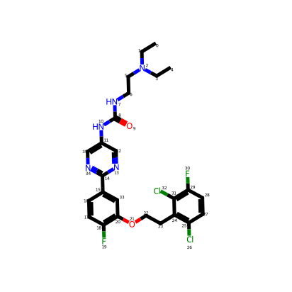 CCN(CC)CCNC(=O)Nc1cnc(-c2ccc(F)c(OCCc3c(Cl)ccc(F)c3Cl)c2)nc1